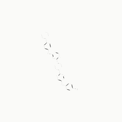 Nc1ccc(Nc2cnc(N3CCN(c4ncnc(Nc5ccc(N6CCOCC6)cc5)n4)CC3)nc2)cc1